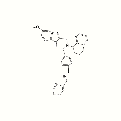 COc1ccc2[nH]c(CN(Cc3ccc(CNCc4ccccn4)cc3)C3CCCc4cccnc43)nc2c1